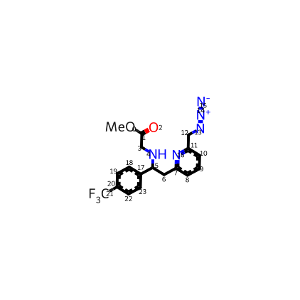 COC(=O)CNC(Cc1cccc(CN=[N+]=[N-])n1)c1ccc(C(F)(F)F)cc1